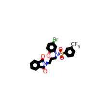 O=C1c2ccccc2C(=O)N1CC1CN(S(=O)(=O)c2cccc(C(F)(F)F)c2)c2cc(Br)ccc2O1